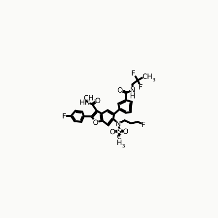 CNC(=O)c1c(-c2ccc(F)cc2)oc2cc(N(CCCF)S(C)(=O)=O)c(-c3cccc(C(=O)NCC(C)(F)F)c3)cc12